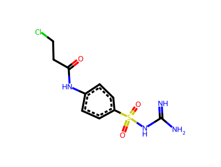 N=C(N)NS(=O)(=O)c1ccc(NC(=O)CCCl)cc1